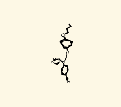 CCCCOc1ccc(OCCN(c2ccc(C#N)cc2)n2cnnc2)cc1